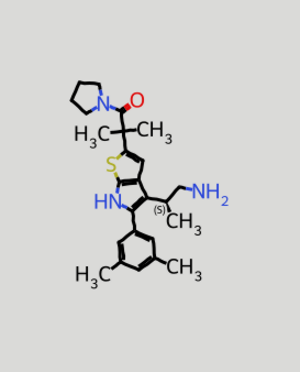 Cc1cc(C)cc(-c2[nH]c3sc(C(C)(C)C(=O)N4CCCC4)cc3c2[C@H](C)CN)c1